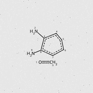 C=O.Nc1ccccc1N